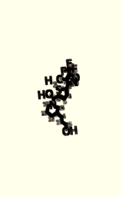 Cc1c(-c2ccc(C(O)N3CCCC(CCCO)C3)s2)noc1C(F)(F)F